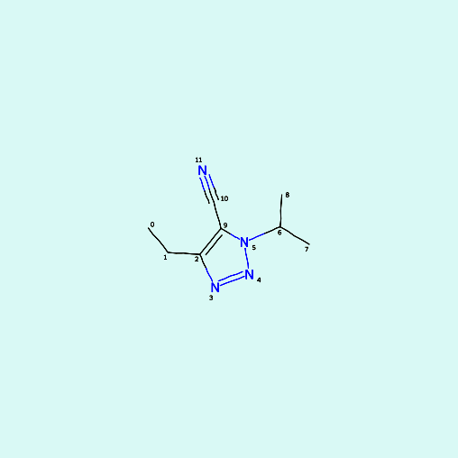 CCc1nnn(C(C)C)c1C#N